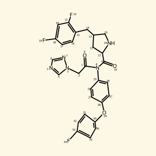 O=C(Cn1cncn1)N(C(=O)C1CC(Cc2ccc(F)cc2F)CN1)c1ccc(Oc2ccc(F)cc2)cc1